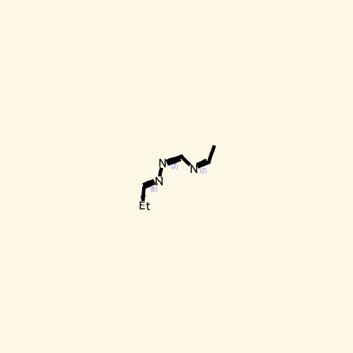 C\C=N/C=N\N=C\CC